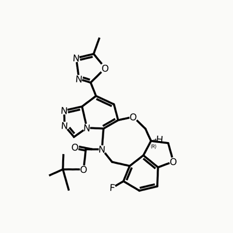 Cc1nnc(-c2cc3c(n4cnnc24)N(C(=O)OC(C)(C)C)Cc2c(F)ccc4c2[C@H](CO4)CO3)o1